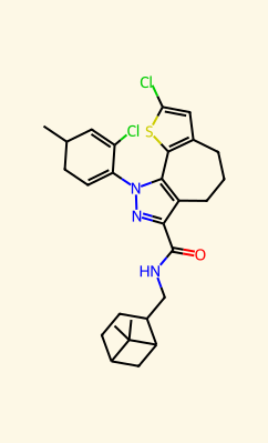 CC1C=C(Cl)C(n2nc(C(=O)NCC3CCC4CC3C4(C)C)c3c2-c2sc(Cl)cc2CCC3)=CC1